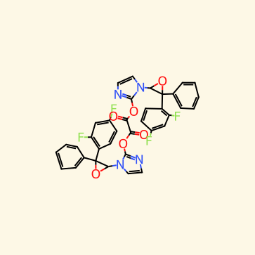 O=C(Oc1nccn1C1OC1(c1ccccc1)c1ccc(F)cc1F)C(=O)Oc1nccn1C1OC1(c1ccccc1)c1ccc(F)cc1F